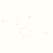 CCCc1cccc(C(=O)OC)c1C#N